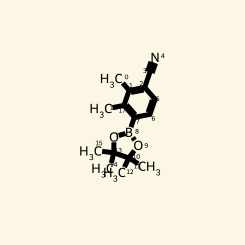 Cc1c(C#N)ccc(B2OC(C)(C)C(C)(C)O2)c1C